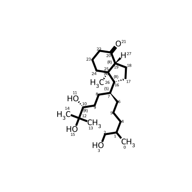 CC(CO)CCC[C@@H](CC[C@@H](O)C(C)(C)O)[C@H]1CC[C@H]2C(=O)CCC[C@]12C